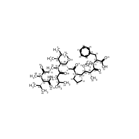 CC[C@H](C)[C@@H]([C@@H](CC(=O)N1CCC[C@H]1[C@H](OC)[C@@H](C)C(=O)N[C@@H](Cc1ccccc1)C(=O)O)OC)N(C)C(=O)[C@@H](NC(=O)[C@H](C(C)C)N(C)C(=O)F)C(C)C